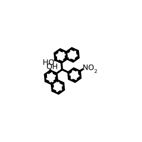 O=[N+]([O-])c1cccc(C(c2c(O)ccc3ccccc23)c2c(O)ccc3ccccc23)c1